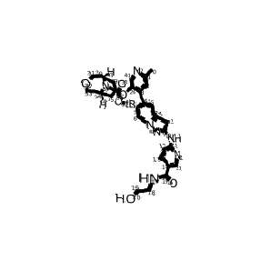 Cc1cc(-c2ccn3nc(Nc4ccc(C(=O)NCCO)cn4)cc3c2)c(OC2C[C@H]3COC[C@@H](C2)N3C(=O)OC(C)(C)C)cn1